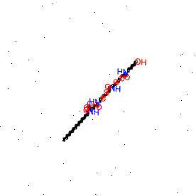 CCCCCCCCCCCCCCCCCC(=O)NC(CCC(=O)NCCOCCOCC(=O)NCCOCCOCC(=O)NCCCCCCO)C(=O)O